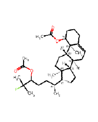 CC(=O)OC(CC[C@@H](C)[C@H]1CC[C@H]2[C@@H]3CC=C4CCC[C@H](OC(C)=O)[C@]4(C)[C@H]3CC[C@]12C)C(C)(C)F